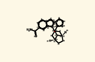 NC(=O)c1ccc2ccn(C3C[C@H]4CC[C@@H](C3)N4Cc3nccs3)c2c1